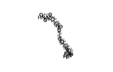 O=C1CCC(N2Cc3cc(C4=CCN(C(=O)COCCCCOc5ccc(C6CCN(C7=Nn8c(nnc8C(F)(F)F)CC7)CC6)cc5)CC4)ccc3C2=O)C(=O)N1